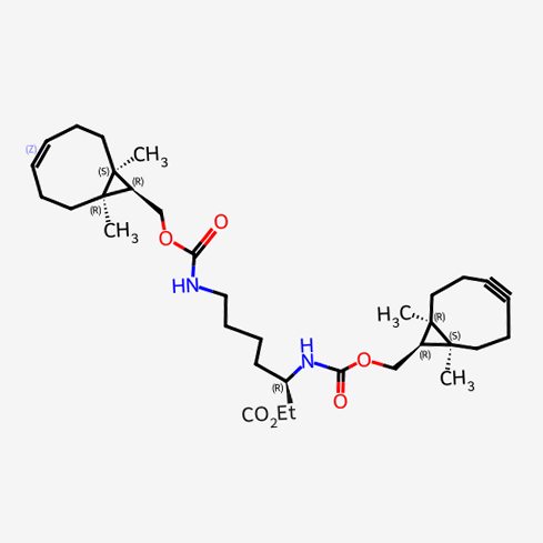 CCOC(=O)[C@@H](CCCCNC(=O)OC[C@@H]1[C@]2(C)CC/C=C\CC[C@]12C)NC(=O)OC[C@@H]1[C@]2(C)CCC#CCC[C@]12C